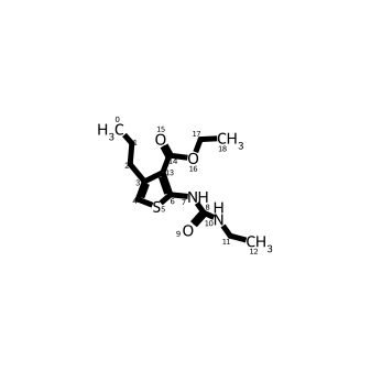 CCCc1csc(NC(=O)NCC)c1C(=O)OCC